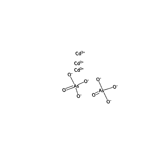 O=[As]([O-])([O-])[O-].O=[As]([O-])([O-])[O-].[Cd+2].[Cd+2].[Cd+2]